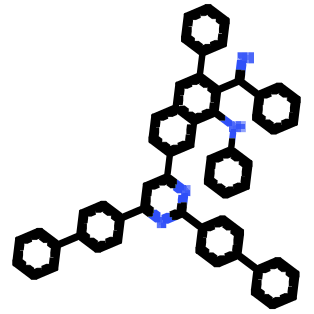 N=C(c1ccccc1)c1c(-c2ccccc2)cc2ccc(-c3cc(-c4ccc(-c5ccccc5)cc4)nc(-c4ccc(-c5ccccc5)cc4)n3)cc2c1Nc1ccccc1